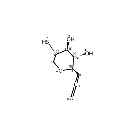 O=C=C[C@H]1O[CH][C@H](S)[C@@H](O)[C@@H]1O